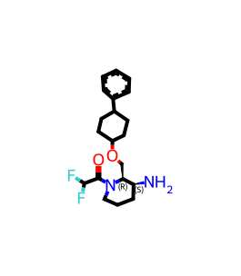 N[C@H]1CCCN(C(=O)C(F)F)[C@H]1COC1CCC(c2ccccc2)CC1